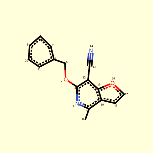 Cc1nc(OCc2ccccc2)c(C#N)c2occc12